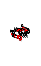 C1=CC2=CC3(C=C1)c1ncc4c(c1C1c5ccccc5C213)c1c2c3c5c(ncc3n3c6cnc7c(c6c(c6c8c9c(ncc8n4c61)C1c4ccccc4C9c4ccccc41)c23)C1c2ccccc2C12c1ccccc1C72)C1c2ccccc2C12c1ccccc1C52